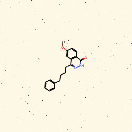 COc1ccc2c(=O)[nH]nc(CCCCc3ccccc3)c2c1